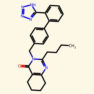 CCCCc1nc2c(c(=O)n1Cc1ccc(-c3ccccc3-c3nnn[nH]3)cc1)CCCC2